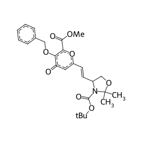 COC(=O)c1oc(C=CC2COC(C)(C)N2C(=O)OC(C)(C)C)cc(=O)c1OCc1ccccc1